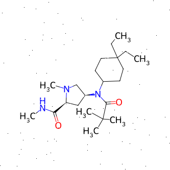 CCC1(CC)CCC(N(C(=O)C(C)(C)C)[C@H]2C[C@@H](C(=O)NC)N(C)C2)CC1